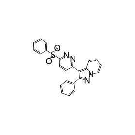 O=S(=O)(c1ccccc1)c1ccc(-c2c(-c3ccccc3)nn3ccccc23)nn1